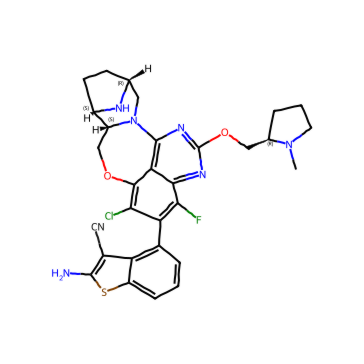 CN1CCC[C@@H]1COc1nc2c3c(c(Cl)c(-c4cccc5sc(N)c(C#N)c45)c(F)c3n1)OC[C@@H]1[C@@H]3CC[C@H](CN21)N3